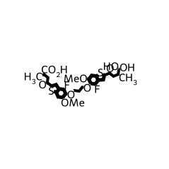 COc1cc2sc(C(=O)C[C@H](C)C(=O)O)cc2c(F)c1OCCCOc1c(OC)cc2sc(C(=O)C[C@H](C)C(O)O)cc2c1F